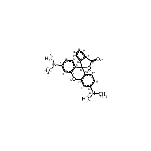 CN(C)c1ccc2c(c1)Oc1cc(N(C)C)ccc1C21OC(=O)c2ccccc21